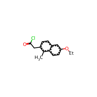 CCOc1ccc2c(C)c(CC(=O)Cl)ccc2c1